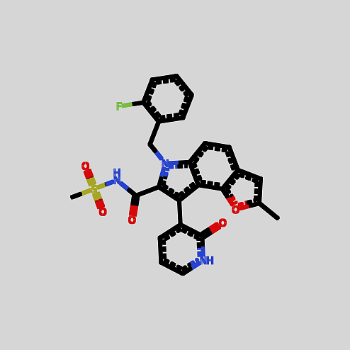 Cc1cc2ccc3c(c(-c4ccc[nH]c4=O)c(C(=O)NS(C)(=O)=O)n3Cc3ccccc3F)c2o1